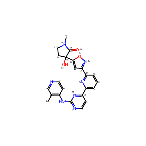 Cc1cnccc1Nc1nccc(-c2cccc(-c3cc(C4(O)CCN(C)C4=O)on3)n2)n1